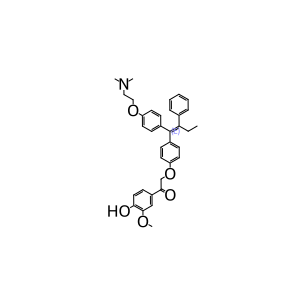 CC/C(=C(/c1ccc(OCCN(C)C)cc1)c1ccc(OCC(=O)c2ccc(O)c(OC)c2)cc1)c1ccccc1